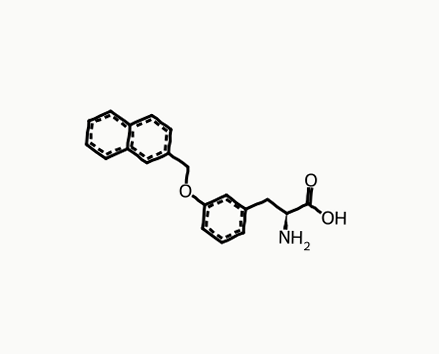 N[C@@H](Cc1cccc(OCc2ccc3ccccc3c2)c1)C(=O)O